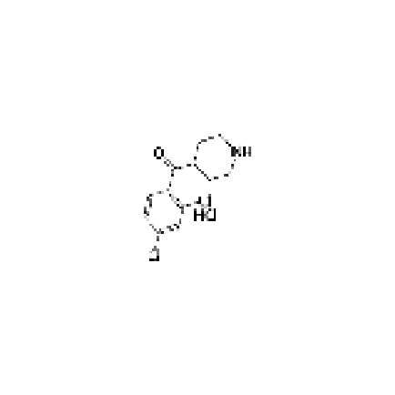 Cl.O=C(c1ccc(Cl)cc1Cl)C1CCNCC1